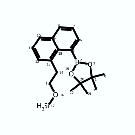 CC1(C)OB(c2cccc3cccc(CCO[SiH3])c23)OC1(C)C